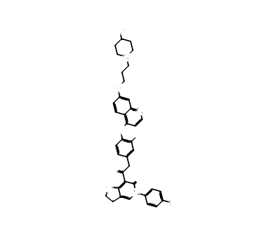 CC1CCN(CCCOc2ccc3c(Oc4ccc(CC(=O)c5c6c(cn(-c7ccc(F)cc7)c5=O)CCO6)cc4F)ccnc3c2)CC1